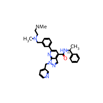 CNCCN(C)Cc1cccc(-c2cc(C(=O)N[C@@H](C)c3ccccc3)c3cnn(Cc4cccnc4)c3n2)c1